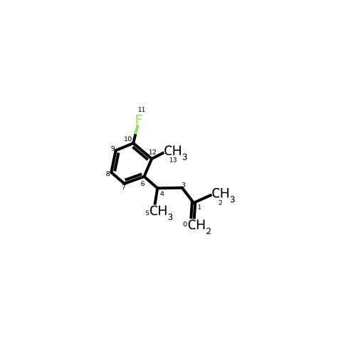 C=C(C)CC(C)c1cccc(F)c1C